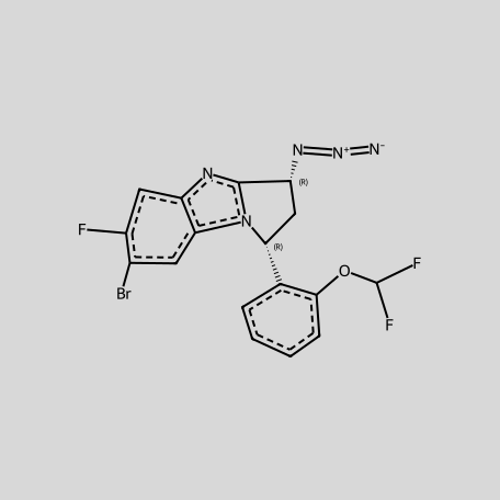 [N-]=[N+]=N[C@@H]1C[C@H](c2ccccc2OC(F)F)n2c1nc1cc(F)c(Br)cc12